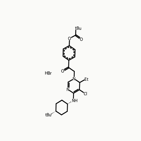 Br.CCC1C(Cl)=C(N[C@H]2CC[C@@H](C(C)(C)C)CC2)N=CN1CC(=O)c1ccc(OC(=O)C(C)(C)C)cc1